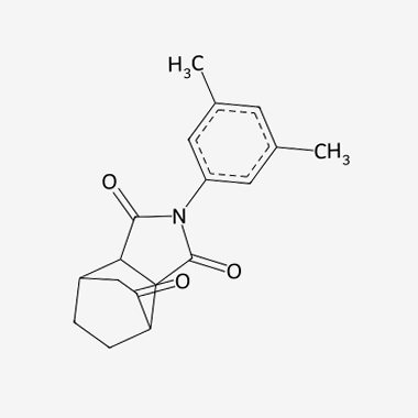 Cc1cc(C)cc(N2C(=O)C3C4CCC(C(=O)C4)C3C2=O)c1